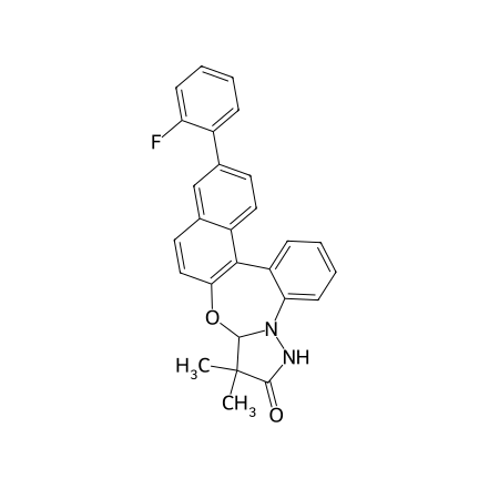 CC1(C)C(=O)NN2c3ccccc3-c3c(ccc4cc(-c5ccccc5F)ccc34)OC21